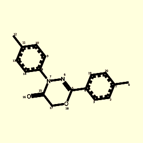 Cc1ccc(C2=NN(c3ccc(C)cc3)C(=O)CO2)cc1